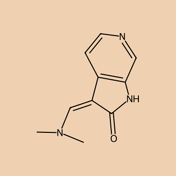 CN(C)C=C1C(=O)Nc2cnccc21